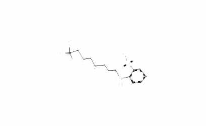 NS(=O)(=O)c1ccccc1NCCCCCCCC(F)(F)F